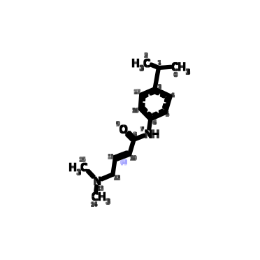 CC(C)c1ccc(NC(=O)/C=C/CN(C)C)cc1